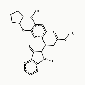 COC(=O)CC(c1ccc(OC)c(OC2CCCC2)c1)C1C(=O)c2ncccc2[NH+]1[O-]